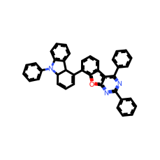 C1=CC2C(C(c3cccc4c3oc3nc(-c5ccccc5)nc(-c5ccccc5)c34)=C1)c1ccccc1N2c1ccccc1